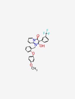 COc1ccc(Oc2ccccc2C[n+]2c(O)c(-c3cccc(C(F)(F)F)c3)c(=O)n3ccccc32)cc1